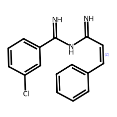 N=C(/C=C\c1ccccc1)NC(=N)c1cccc(Cl)c1